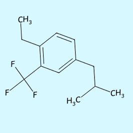 CCc1ccc(CC(C)C)cc1C(F)(F)F